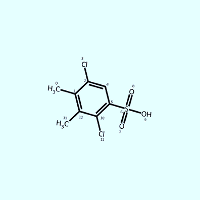 Cc1c(Cl)cc(S(=O)(=O)O)c(Cl)c1C